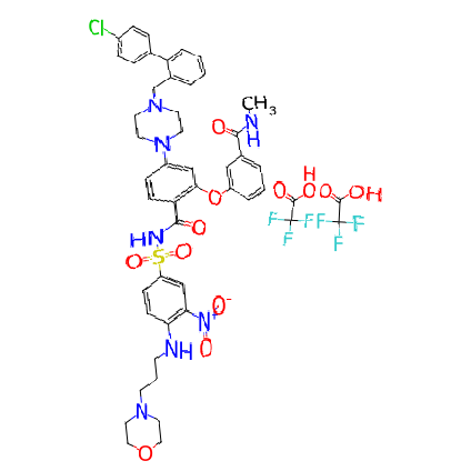 CNC(=O)c1cccc(Oc2cc(N3CCN(Cc4ccccc4-c4ccc(Cl)cc4)CC3)ccc2C(=O)NS(=O)(=O)c2ccc(NCCCN3CCOCC3)c([N+](=O)[O-])c2)c1.O=C(O)C(F)(F)F.O=C(O)C(F)(F)F